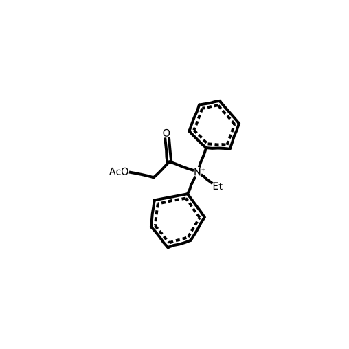 CC[N+](C(=O)COC(C)=O)(c1ccccc1)c1ccccc1